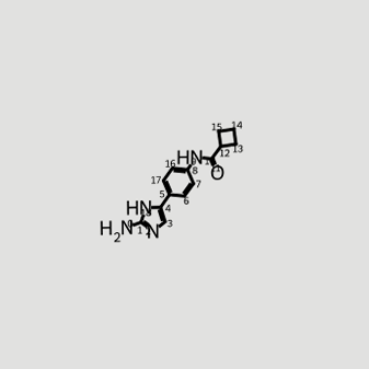 Nc1ncc(-c2ccc(NC(=O)C3CCC3)cc2)[nH]1